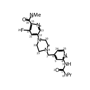 CCCC(=O)Nc1cc(CN2CCN(c3cnc(C(=O)NC)c(F)c3)CC2)ccn1